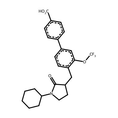 O=C(O)c1ccc(-c2ccc(CC3CCN(C4CCCCC4)C3=O)c(OC(F)(F)F)c2)cc1